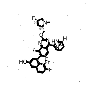 CCc1c(F)ccc2cc(O)cc(-c3c(F)cc4c(N5C[C@@H]6CCC5CN6)nc(OC[C@@H]5C[C@@H](F)CN5C)nc4c3F)c12